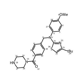 COc1ccc(N(Cc2ccc(C(=O)N3CCNCC3)cc2)c2nc(C(C)(C)C)cs2)cc1